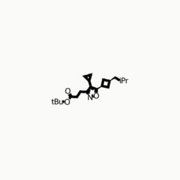 CC(C)C[C@H]1C[C@@H](c2onc(CCC(=O)OC(C)(C)C)c2C2CC2)C1